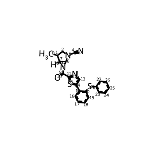 CC1CN(C#N)C2[C@@H]1N2C(=O)c1ncc(-c2ccccc2Sc2ccccc2)s1